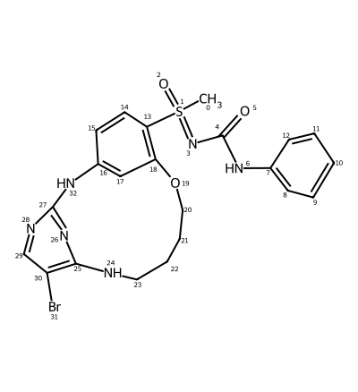 CS(=O)(=NC(=O)Nc1ccccc1)c1ccc2cc1OCCCCNc1nc(ncc1Br)N2